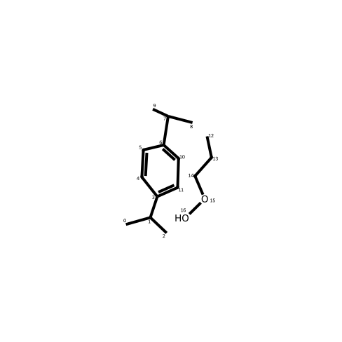 CC(C)c1ccc(C(C)C)cc1.CCCOO